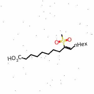 CCCCCCC=C(CCCCCCCC(=O)O)S(C)(=O)=O